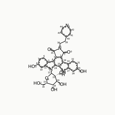 O=C1c2c(c3c4ccc(O)cc4n([C@@H]4O[C@H](CO)[C@@H](O)[C@H](O)[C@H]4O)c3c3[nH]c4cc(O)ccc4c23)C(=O)N1CCc1ccncc1